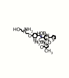 CC1=CC(=O)N(N(C)c2nc(-c3cccs3)nc(C)c2/C(C)=C(\C)C2=CC=C(OCCN(N)CCO)CC2)C1=O